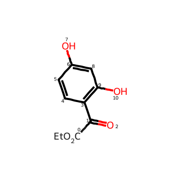 CCOC(=O)C(=O)c1ccc(O)cc1O